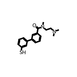 CN(C)CCN(C)C(=O)c1cccc(-c2cccc(S)c2)c1